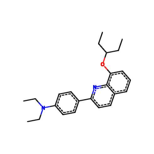 CCC(CC)Oc1cccc2ccc(-c3ccc(N(CC)CC)cc3)nc12